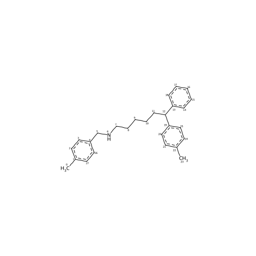 Cc1ccc(CNCCCCCC(c2ccccc2)c2ccc(C)cc2)cc1